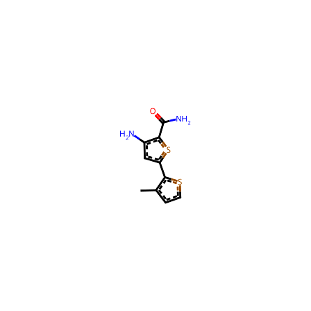 Cc1ccsc1-c1cc(N)c(C(N)=O)s1